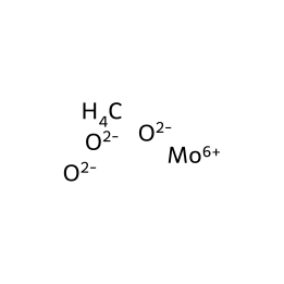 C.[Mo+6].[O-2].[O-2].[O-2]